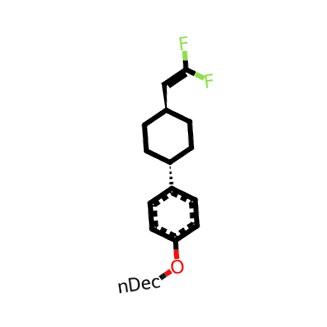 CCCCCCCCCCOc1ccc([C@H]2CC[C@H](C=C(F)F)CC2)cc1